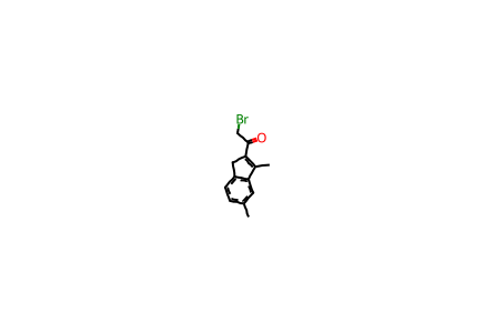 CC1=C(C(=O)CBr)Cc2ccc(C)cc21